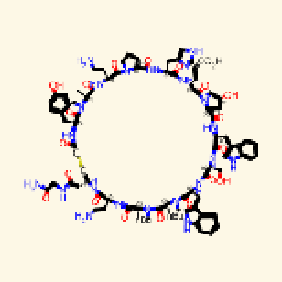 CCCC[C@H]1C(=O)N(C)[C@@H](CCCC)C(=O)N[C@@H](CCN)C(=O)N[C@H](CC(=O)NCC(N)=O)CSCC(=O)N[C@@H](Cc2ccc(O)cc2)C(=O)N(C)[C@@H](C)C(=O)N[C@@H](CCN)C(=O)N2CCC[C@H]2C(=O)N[C@@H](Cc2c[nH]cn2)C(=O)N[C@@H](CCC(=O)O)C(=O)N2C[C@H](O)C[C@H]2C(=O)N[C@@H](Cc2c[nH]c3ccccc23)C(=O)N[C@@H](CO)C(=O)N[C@@H](Cc2c[nH]c3ccccc23)C(=O)N1C